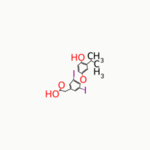 CC(C)c1cc(Oc2c(I)cc(CC(=O)O)cc2I)ccc1O